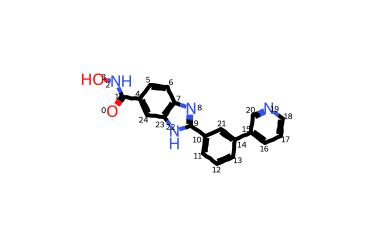 O=C(NO)c1ccc2nc(-c3cccc(-c4cccnc4)c3)[nH]c2c1